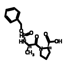 C[C@H](N[PH](=O)OCc1ccccc1)C(=O)N1CCC[C@H]1C(=O)O